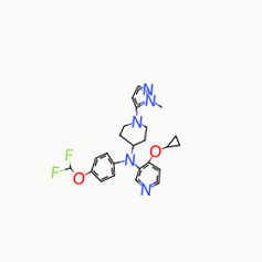 Cn1nccc1N1CCC(N(c2ccc(OC(F)F)cc2)c2cnccc2OC2CC2)CC1